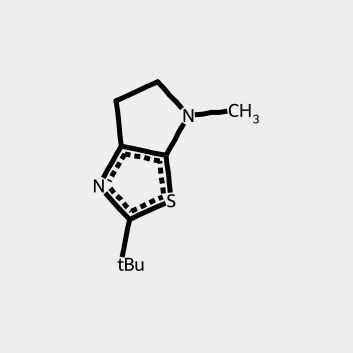 CN1CCc2nc(C(C)(C)C)sc21